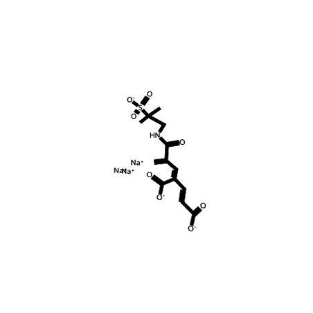 C=C(C=C(C=CC(=O)[O-])C(=O)[O-])C(=O)NCC(C)(C)S(=O)(=O)[O-].[Na+].[Na+].[Na+]